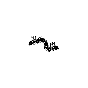 Cc1ccc(NC(=O)Nc2cccc(OS(=O)(=O)c3ccc(Oc4ccc(S(=O)(=O)Oc5cccc(NC(=O)Nc6ccc(C)cc6)c5)cc4)cc3)c2)cc1